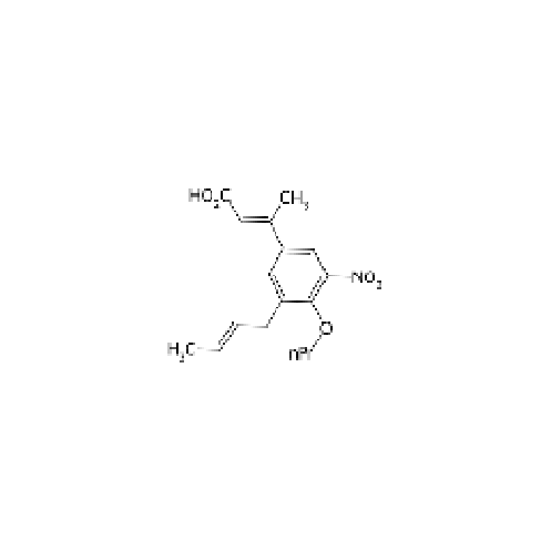 C/C=C/Cc1cc(/C(C)=C/C(=O)O)cc([N+](=O)[O-])c1OCCC